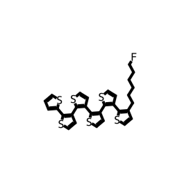 FCCCCCCc1ccsc1-c1ccsc1-c1ccsc1-c1ccsc1-c1ccsc1-c1cccs1